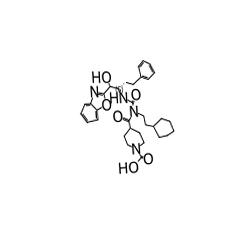 O=C(O)N1CCC(C(=O)N(CCC2CCCCC2)C(=O)N[C@@H](CCc2ccccc2)C(O)c2nc3ccccc3o2)CC1